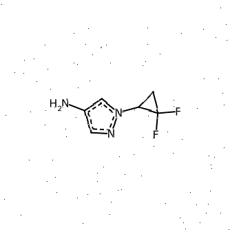 Nc1cnn(C2CC2(F)F)c1